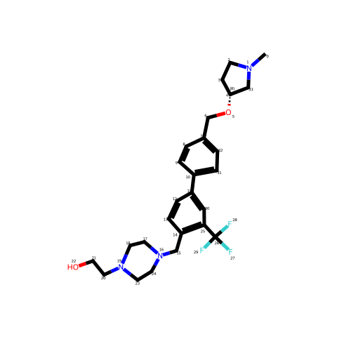 CN1CC[C@@H](OCc2ccc(-c3ccc(CN4CCN(CCO)CC4)c(C(F)(F)F)c3)cc2)C1